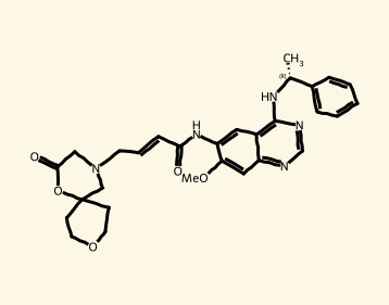 COc1cc2ncnc(N[C@H](C)c3ccccc3)c2cc1NC(=O)C=CCN1CC(=O)OC2(CCOCC2)C1